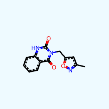 Cc1cc(Cn2c(=O)[nH]c3ccccc3c2=O)on1